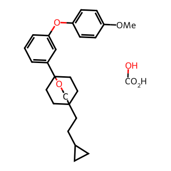 COc1ccc(Oc2cccc(C34CCC(CCC5CC5)(CC3)CO4)c2)cc1.O=C(O)O